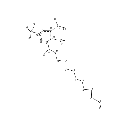 CCCCCCCCCCCCC(C)c1cc(C(C)(C)C)cc(C(C)C)c1O